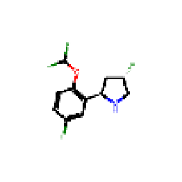 Fc1ccc(OC(F)F)c([C@H]2C[C@H](F)CN2)c1